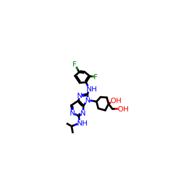 CC(C)Nc1ncc2nc(Nc3ccc(F)cc3F)n(C3CCC(O)(CO)CC3)c2n1